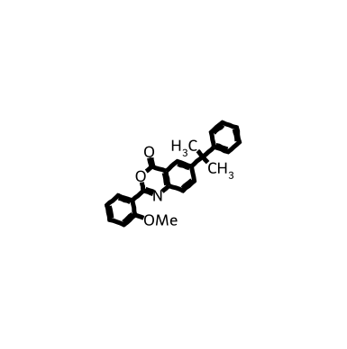 COc1ccccc1-c1nc2ccc(C(C)(C)c3ccccc3)cc2c(=O)o1